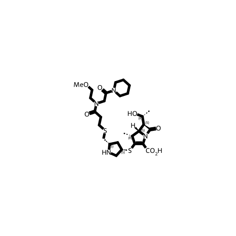 COCCN(CC(=O)N1CCCCC1)C(=O)CCSC[C@@H]1C[C@H](SC2=C(C(=O)O)N3C(=O)[C@H]([C@@H](C)O)[C@H]3[C@H]2C)CN1